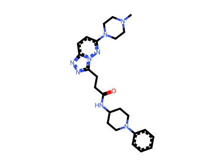 CN1CCN(c2ccc3nnc(CCC(=O)NC4CCN(c5ccccc5)CC4)n3n2)CC1